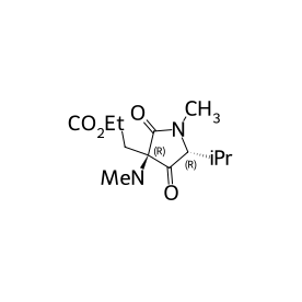 CCOC(=O)C[C@@]1(NC)C(=O)[C@@H](C(C)C)N(C)C1=O